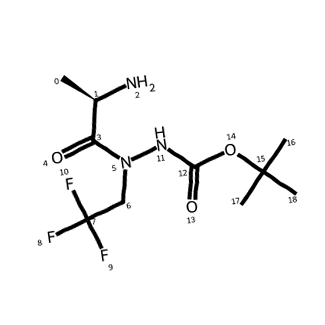 C[C@@H](N)C(=O)N(CC(F)(F)F)NC(=O)OC(C)(C)C